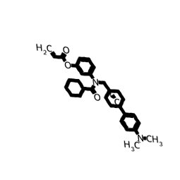 C=CC(=O)Oc1cccc(N(CC23CCC(c4ccc(N(C)C)cc4)(CC2)CC3)C(=O)C2CCCCC2)c1